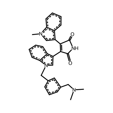 CN(C)Cc1cccc(Cn2cc(C3=C(c4cn(C)c5ccccc45)C(=O)NC3=O)c3ccccc32)c1